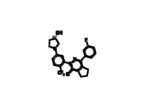 O=c1c2c(c(-c3cccc(F)c3)nn1-c1cc(N3CC[C@H](O)C3)ccc1C(F)(F)F)CCC2